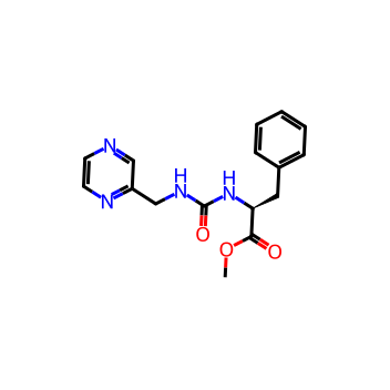 COC(=O)[C@H](Cc1ccccc1)NC(=O)NCc1cnccn1